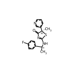 C[C@H](NC1=NC(=O)[C@@](C)(c2cccnc2)S1)c1ccc(F)cc1